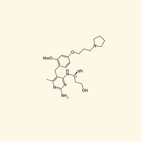 CCC[C@@H](CCO)Nc1nc(N)nc(C)c1Cc1ccc(OCCCN2CCCC2)cc1OC